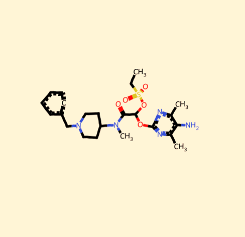 CCS(=O)(=O)OC(Oc1nc(C)c(N)c(C)n1)C(=O)N(C)C1CCN(Cc2ccccc2)CC1